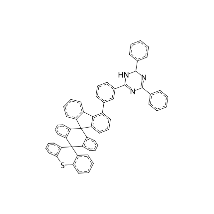 c1ccc(C2=NC(c3ccccc3)NC(c3cccc(-c4cccc5c4-c4ccccc4C54c5ccccc5C5(c6ccccc6Sc6ccccc65)c5ccccc54)c3)=N2)cc1